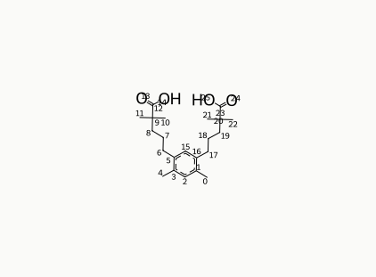 Cc1cc(C)c(CCCC(C)(C)C(=O)O)cc1CCCC(C)(C)C(=O)O